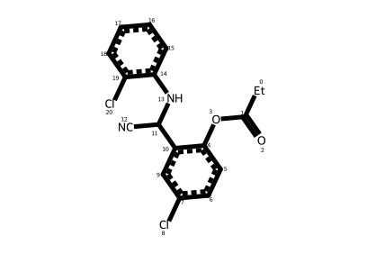 CCC(=O)Oc1ccc(Cl)cc1C(C#N)Nc1ccccc1Cl